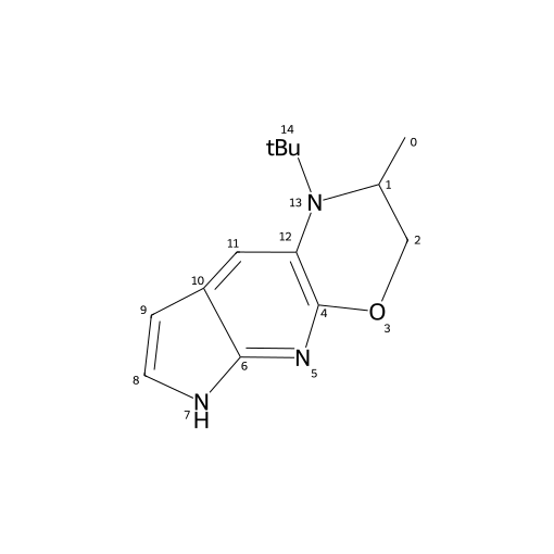 CC1COc2nc3[nH]ccc3cc2N1C(C)(C)C